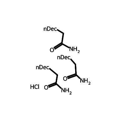 CCCCCCCCCCCC(N)=O.CCCCCCCCCCCC(N)=O.CCCCCCCCCCCC(N)=O.Cl